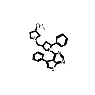 CC1CCN(CC2CC(c3ccccc3)N(c3ncnc4scc(-c5ccccc5)c34)C2)C1